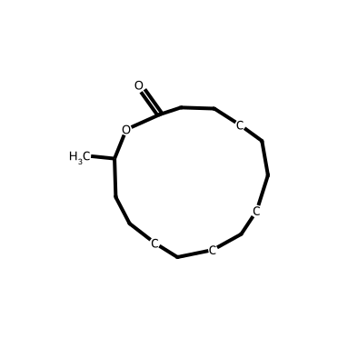 CC1CCCCCCCCCCCCC(=O)O1